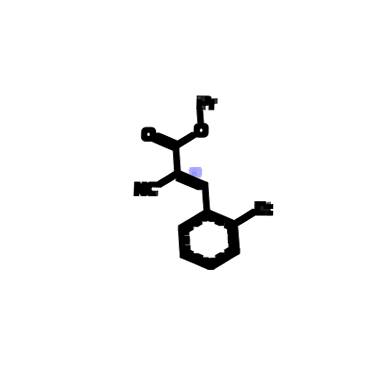 CCc1ccccc1/C=C(\C#N)C(=O)OC(C)C